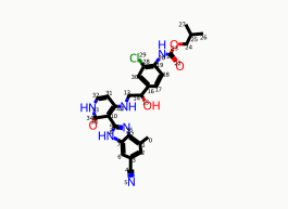 Cc1cc(C#N)cc2[nH]c(-c3c(NCC(O)c4ccc(NC(=O)OCC(C)C)c(Cl)c4)cc[nH]c3=O)nc12